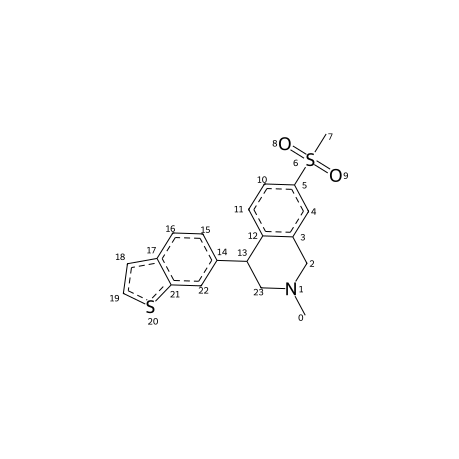 CN1Cc2cc(S(C)(=O)=O)ccc2C(c2ccc3ccsc3c2)C1